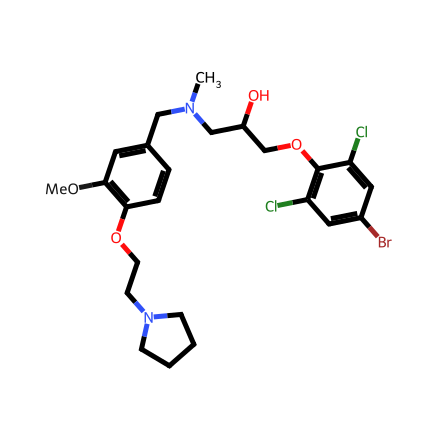 COc1cc(CN(C)CC(O)COc2c(Cl)cc(Br)cc2Cl)ccc1OCCN1CCCC1